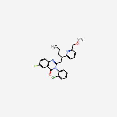 CCCC(Cc1nc2ccc(F)cc2c(=O)n1-c1ccccc1Cl)c1cccc(COC)n1